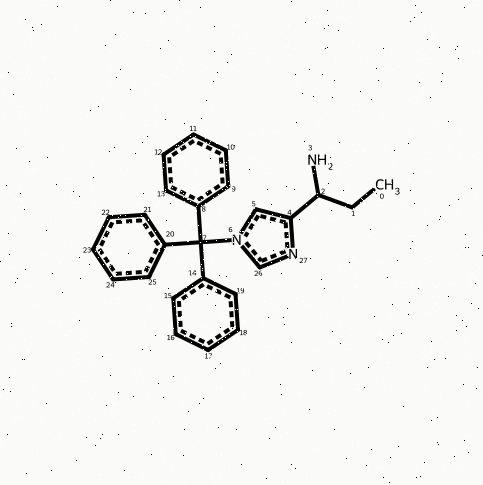 CCC(N)c1cn(C(c2ccccc2)(c2ccccc2)c2ccccc2)cn1